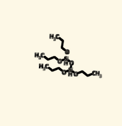 CCCO[SiH](OCCC)O[SiH](OCCC)OCCC